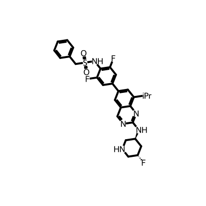 CC(C)c1cc(-c2cc(F)c(NS(=O)(=O)Cc3ccccc3)c(F)c2)cc2cnc(N[C@@H]3CNC[C@@H](F)C3)nc12